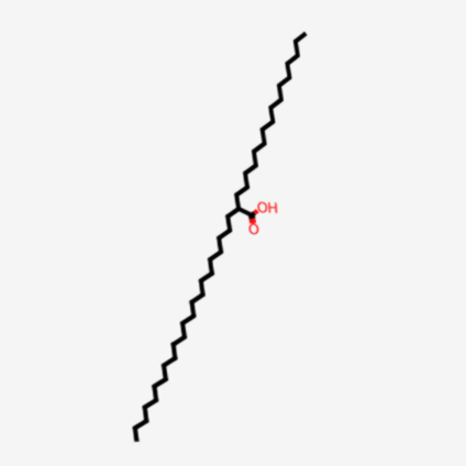 CCCCCCCCCCCCCCCCCCCCCCC(CCCCCCCCCCCCCCCC)C(=O)O